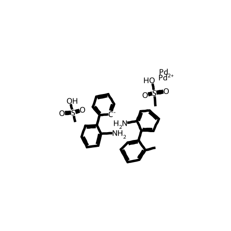 CS(=O)(=O)O.CS(=O)(=O)O.Cc1ccccc1-c1ccccc1N.Nc1ccccc1-c1[c-]cccc1.[Pd+2].[Pd]